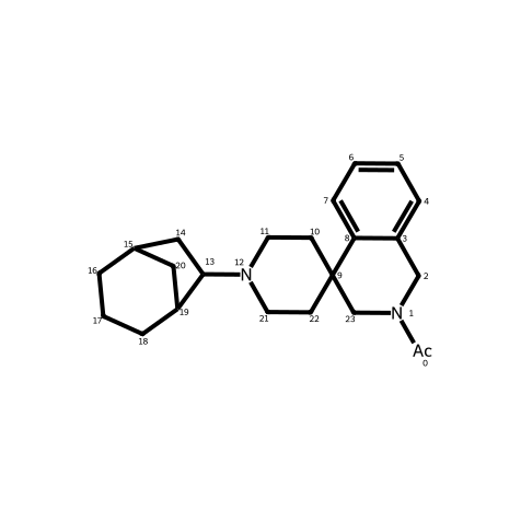 CC(=O)N1Cc2ccccc2C2(CCN(C3CC4CCCC3C4)CC2)C1